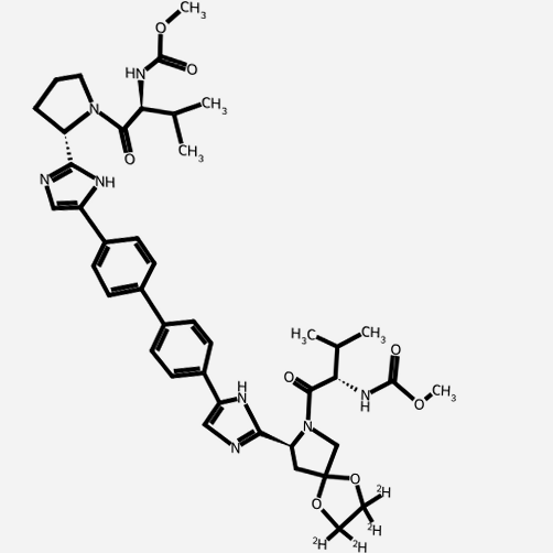 [2H]C1([2H])OC2(C[C@@H](c3ncc(-c4ccc(-c5ccc(-c6cnc([C@@H]7CCCN7C(=O)[C@@H](NC(=O)OC)C(C)C)[nH]6)cc5)cc4)[nH]3)N(C(=O)[C@@H](NC(=O)OC)C(C)C)C2)OC1([2H])[2H]